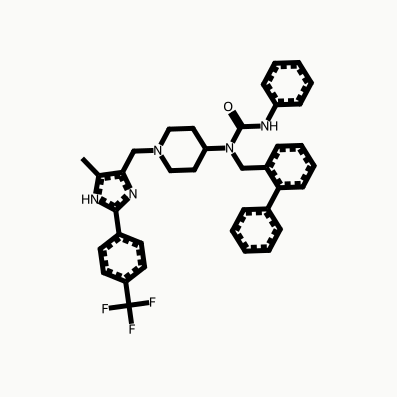 Cc1[nH]c(-c2ccc(C(F)(F)F)cc2)nc1CN1CCC(N(Cc2ccccc2-c2ccccc2)C(=O)Nc2ccccc2)CC1